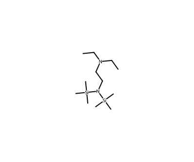 CCN(CC)CCN([Si](C)(C)C)[Si](C)(C)C